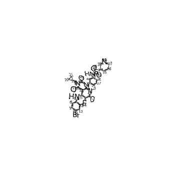 Cn1c(=O)cc(Nc2ccc(Br)cc2F)c2c(=O)n(C3CC3)c(=O)n(-c3cccc(NS(=O)(=O)C4C=CC=NC4)c3)c21